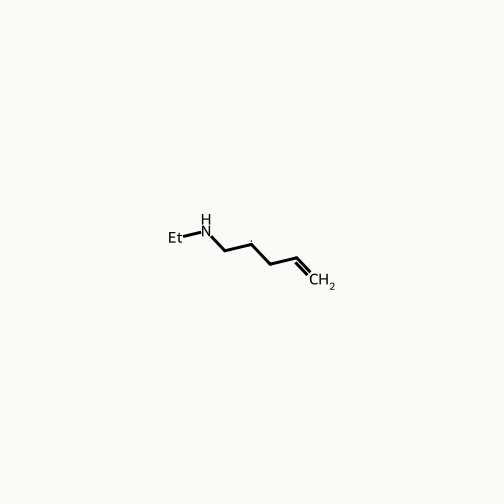 [CH2]CNC[CH]CC=C